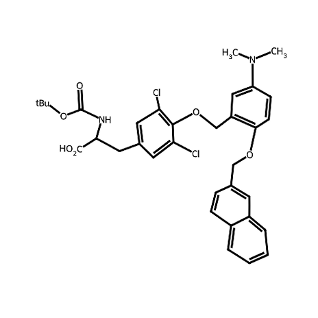 CN(C)c1ccc(OCc2ccc3ccccc3c2)c(COc2c(Cl)cc(CC(NC(=O)OC(C)(C)C)C(=O)O)cc2Cl)c1